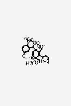 CC1=C(c2ccn[nH]2)C(C)(S(=O)(=O)O)C=CC1(C(=O)c1cc(Cl)ccc1[N+](=O)[O-])[N+](=O)[O-]